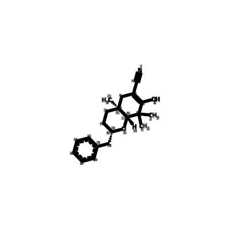 CC1(C)C(O)=C(C#N)C[C@]2(C)CC[C@@H](Cc3ccccc3)O[C@@H]12